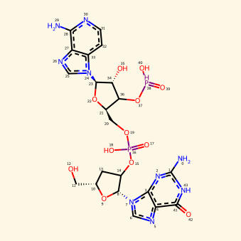 Nc1nc2c(ncn2[C@@H]2O[C@H](CO)CC2OP(=O)(O)OC[C@H]2O[C@@H](n3cnc4c(N)nccc43)[C@H](O)C2O[PH](=O)O)c(=O)[nH]1